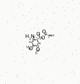 C#CC(=O)OC(=O)c1cc(OC)c(OC)cc1N